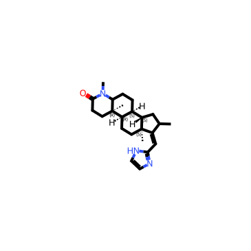 CC1C[C@H]2[C@@H]3CCC4N(C)C(=O)CC[C@]4(C)[C@@H]3CC[C@]2(C)C1=Cc1ncc[nH]1